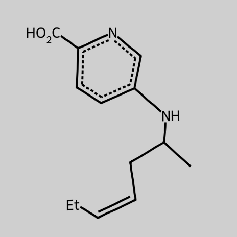 CC/C=C\CC(C)Nc1ccc(C(=O)O)nc1